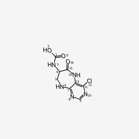 O=C(O)NC1CNc2ncnc(Cl)c2NC1=O